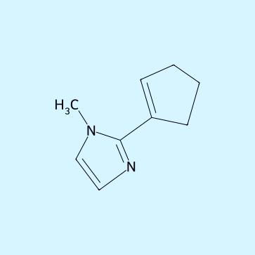 Cn1ccnc1C1=CCCC1